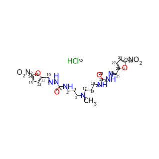 CN(CCCNC(=O)NN=Cc1ccc([N+](=O)[O-])o1)CCCNC(=O)NN=Cc1ccc([N+](=O)[O-])o1.Cl